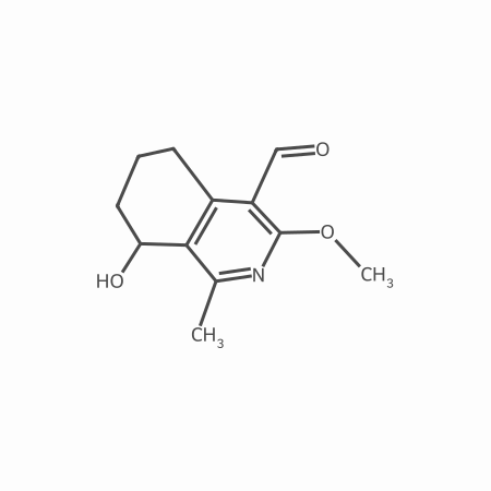 COc1nc(C)c2c(c1C=O)CCCC2O